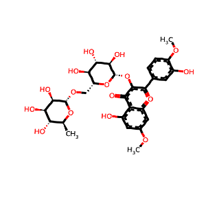 COc1cc(O)c2c(=O)c(O[C@@H]3O[C@H](CO[C@@H]4O[C@@H](C)[C@H](O)[C@@H](O)[C@H]4O)[C@@H](O)[C@H](O)[C@H]3O)c(-c3ccc(OC)c(O)c3)oc2c1